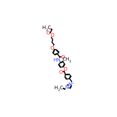 C=CC(=O)OCCCCOc1ccc(C(=O)Nc2ccc(OC(=O)c3ccc(C[n+]4ccn(C=C)c4)cc3)cc2C)cc1